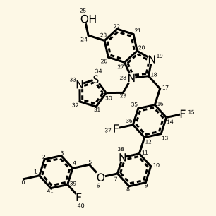 Cc1ccc(COc2cccc(-c3cc(F)c(Cc4nc5ccc(CO)cc5n4Cc4ccns4)cc3F)n2)c(F)c1